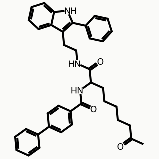 CC(=O)CCCCCC(NC(=O)c1ccc(-c2ccccc2)cc1)C(=O)NCCc1c(-c2ccccc2)[nH]c2ccccc12